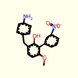 COc1ccc(Cc2ccc(N)cc2)c(O)c1-c1cccc([N+](=O)[O-])c1